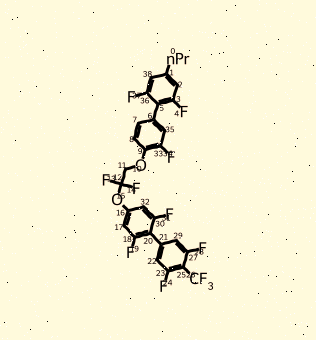 CCCc1cc(F)c(-c2ccc(OCC(F)(F)Oc3cc(F)c(-c4cc(F)c(C(F)(F)F)c(F)c4)c(F)c3)c(F)c2)c(F)c1